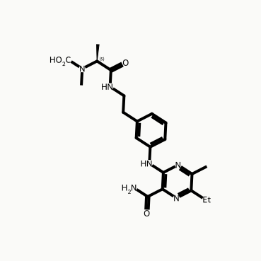 CCc1nc(C(N)=O)c(Nc2cccc(CCNC(=O)[C@H](C)N(C)C(=O)O)c2)nc1C